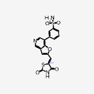 NS(=O)(=O)c1cccc(-c2cncc3cc(/C=C4\SC(=O)NC4=O)oc23)c1